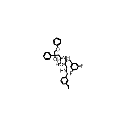 O=C(CC(O)(COc1ccccc1)c1ccccc1)N[C@@H](Cc1cc(F)cc(F)c1)[C@H](O)CNCc1cccc(I)c1